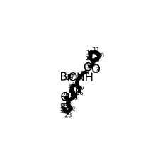 O=C(NCCOC(=O)c1ccccc1)c1cc[n+](CC(=O)c2cccs2)cc1.[Br-]